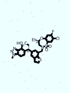 CC[C@@H]1CN(Cc2cc([C@@H](CC(=O)O)c3ccc4c(nnn4C)c3C)cc3ccsc23)S(=O)(=O)c2cc(Cl)c(F)cc2O1